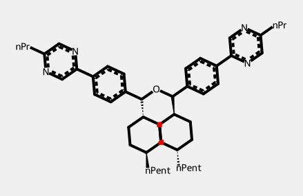 CCCCC[C@H]1CC[C@H](C(OC(c2ccc(-c3cnc(CCC)cn3)cc2)[C@H]2CC[C@H](CCCCC)CC2)c2ccc(-c3cnc(CCC)cn3)cc2)CC1